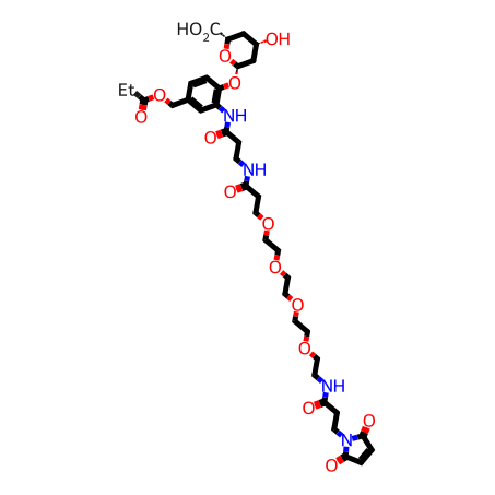 CCC(=O)OCc1ccc(O[C@H]2C[C@@H](O)C[C@@H](C(=O)O)O2)c(NC(=O)CCNC(=O)CCOCCOCCOCCOCCNC(=O)CCN2C(=O)C=CC2=O)c1